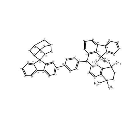 CC1(C)CCC(C)(C)c2cc(N(c3ccc(-c4ccc5c(c4)C4(c6ccccc6-5)C5CC6CC7CC4C75C6)cc3)c3cccc4c3C(C)(C)c3ccccc3-4)ccc21